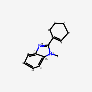 Cn1c(C2=CCCCC2)nc2ccccc21